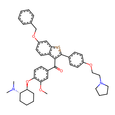 COc1cc(C(=O)c2c(-c3ccc(OCCN4CCCC4)cc3)sc3cc(OCc4ccccc4)ccc23)ccc1O[C@H]1CCCC[C@@H]1N(C)C